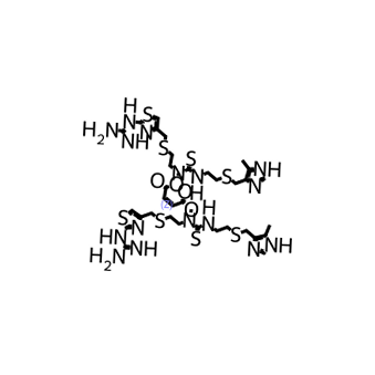 Cc1[nH]cnc1CSCCNC(=S)N(CCSCc1csc(NC(=N)N)n1)OC(=O)/C=C\C(=O)ON(CCSCc1csc(NC(=N)N)n1)C(=S)NCCSCc1nc[nH]c1C